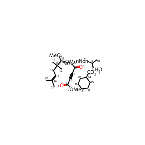 CCCCCC(=O)C#CC(=O)OC.CCCCCCCCCC(C)C=O.COC(OC)C(C)(C)CC=C(C)C.O=C(O)C1CCCCC1